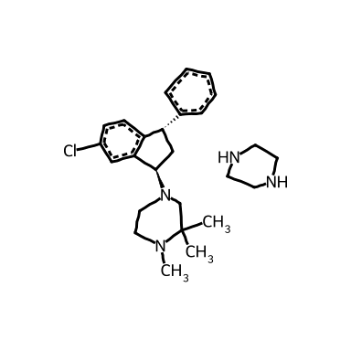 C1CNCCN1.CN1CCN([C@@H]2C[C@@H](c3ccccc3)c3ccc(Cl)cc32)CC1(C)C